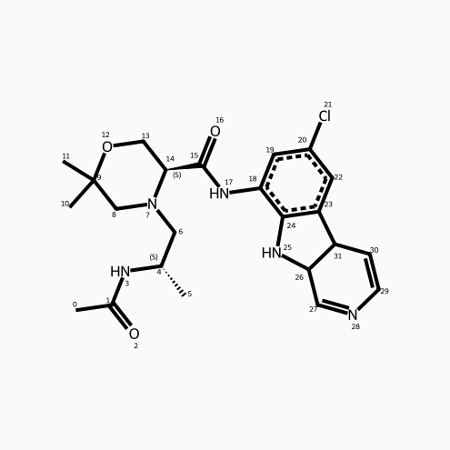 CC(=O)N[C@@H](C)CN1CC(C)(C)OC[C@H]1C(=O)Nc1cc(Cl)cc2c1NC1C=NC=CC21